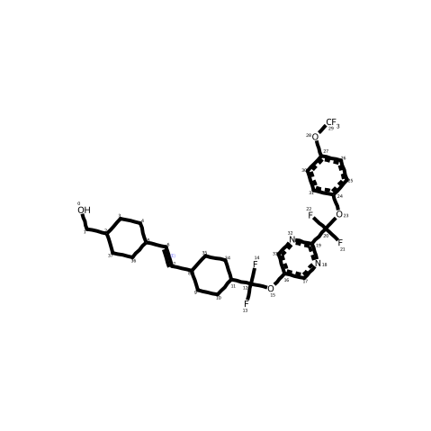 OCC1CCC(/C=C/C2CCC(C(F)(F)Oc3cnc(C(F)(F)Oc4ccc(OC(F)(F)F)cc4)nc3)CC2)CC1